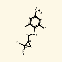 Cc1cc(N)cc(C)c1OCC1CC1(F)F